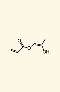 [CH2]C(O)=COC(=O)C=C